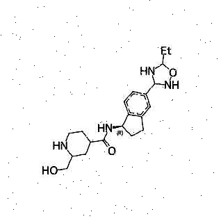 CCC1NC(c2ccc3c(c2)CC[C@H]3NC(=O)C2CCNC(CO)C2)NO1